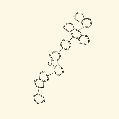 c1ccc(-c2ccc3ccc(-c4cccc5c4oc4ccc(-c6ccc(-c7c8ccccc8c(-c8cccc9ccccc89)c8ccccc78)cc6)cc45)cc3c2)cc1